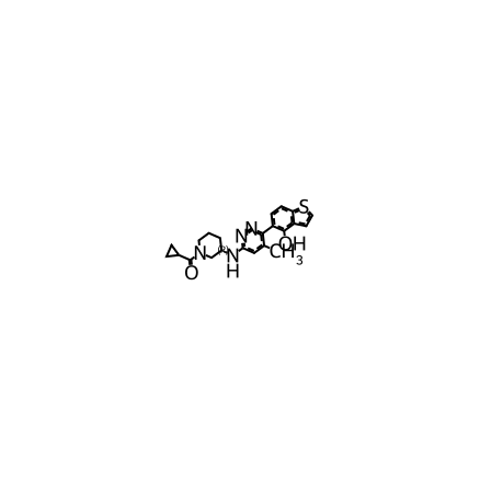 Cc1cc(N[C@@H]2CCCN(C(=O)C3CC3)C2)nnc1-c1ccc2sccc2c1O